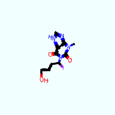 Cn1c(=O)n(C(I)CCCO)c(=O)c2[nH]cnc21